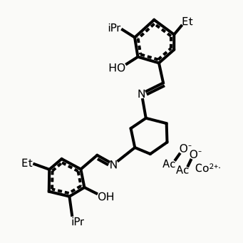 CC(=O)[O-].CC(=O)[O-].CCc1cc(C=NC2CCCC(N=Cc3cc(CC)cc(C(C)C)c3O)C2)c(O)c(C(C)C)c1.[Co+2]